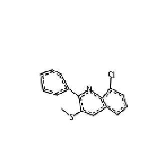 CSc1cc2cccc(Cl)c2nc1-c1ccccc1